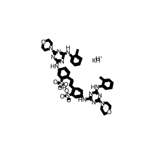 Cc1ccccc1Nc1nc(Nc2ccc(C=Cc3ccc(Nc4nc(Nc5ccccc5C)nc(N5CCOCC5)n4)cc3S(=O)(=O)O)c(S(=O)(=O)[O-])c2)nc(N2CCOCC2)n1.[H+].[KH]